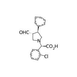 O=C[C@H]1CN([C@@H](C(=O)O)c2ccccc2Cl)C[C@@H]1c1ccccc1